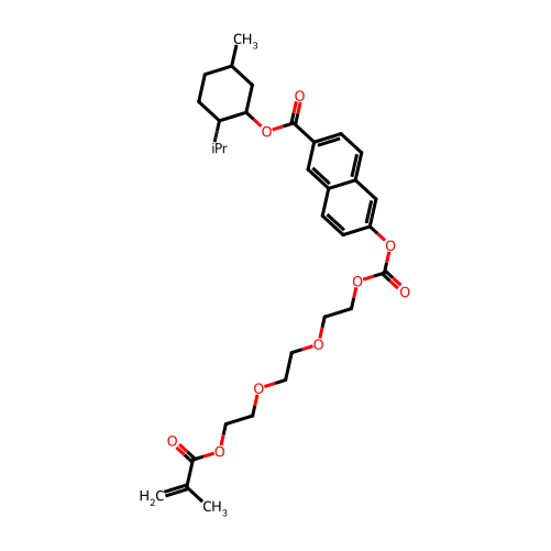 C=C(C)C(=O)OCCOCCOCCOC(=O)Oc1ccc2cc(C(=O)OC3CC(C)CCC3C(C)C)ccc2c1